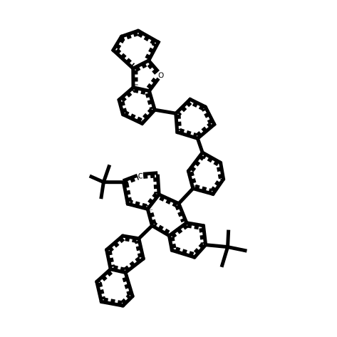 CC(C)(C)c1ccc2c(-c3ccc4ccccc4c3)c3cc(C(C)(C)C)ccc3c(-c3cccc(-c4cccc(-c5cccc6c5oc5ccccc56)c4)c3)c2c1